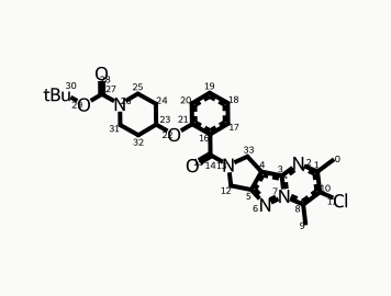 Cc1nc2c3c(nn2c(C)c1Cl)CN(C(=O)c1ccccc1OC1CCN(C(=O)OC(C)(C)C)CC1)C3